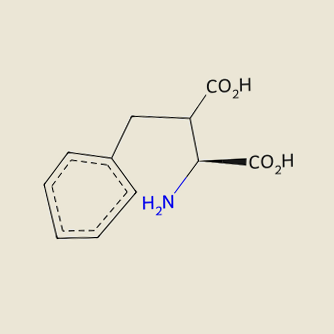 N[C@H](C(=O)O)C(Cc1ccccc1)C(=O)O